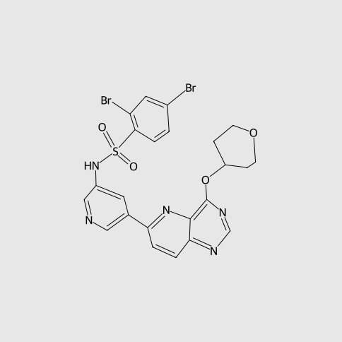 O=S(=O)(Nc1cncc(-c2ccc3ncnc(OC4CCOCC4)c3n2)c1)c1ccc(Br)cc1Br